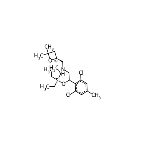 CC[Si](CC)(CC)OC(CNC[C@@H]1CC(C)(C)O1)c1c(Cl)cc(C)cc1Cl